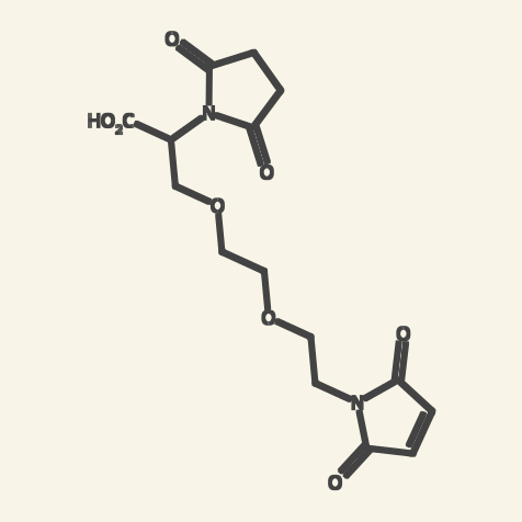 O=C(O)C(COCCOCCN1C(=O)C=CC1=O)N1C(=O)CCC1=O